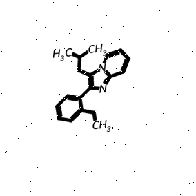 CCc1ccccc1-c1nc2ccccn2c1CC(C)C